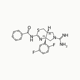 N=C(N)N1C[C@H]2CSC(NC(=O)c3ccccc3)=N[C@@]2(c2cc(F)ccc2F)C1